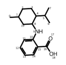 CC1CCC(C(C)C)C(Nc2ccccc2C(=O)O)C1